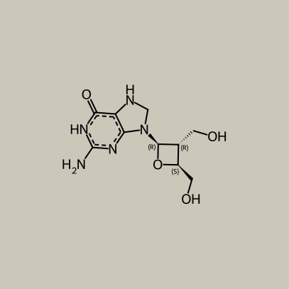 Nc1nc2c(c(=O)[nH]1)NCN2[C@@H]1O[C@H](CO)[C@H]1CO